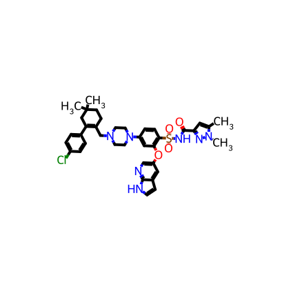 Cc1cc(C(=O)NS(=O)(=O)c2ccc(N3CCN(CC4=C(c5ccc(Cl)cc5)CC(C)(C)CC4)CC3)cc2Oc2cnc3[nH]ccc3c2)nn1C